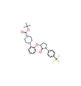 CC(C)(C)OC(=O)N1CCN(c2ccccc2OC2CCN(c3ccc(C(F)(F)F)cc3)C2=O)CC1